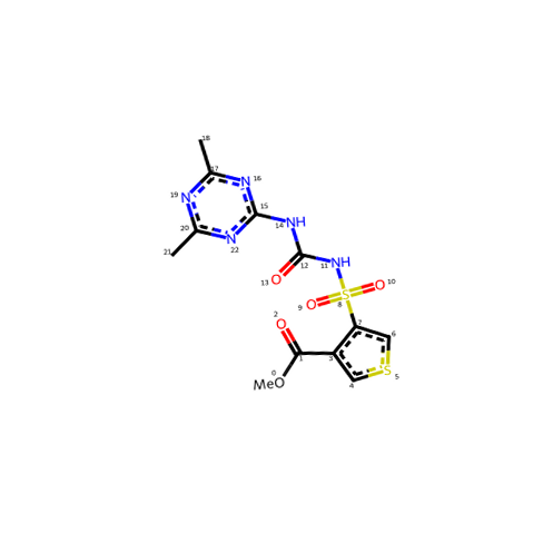 COC(=O)c1cscc1S(=O)(=O)NC(=O)Nc1nc(C)nc(C)n1